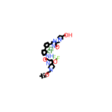 COc1nc(-c2cccc(-c3cccc(NC(=O)c4cc(OC(F)F)c5c(n4)CN(CCO[Si](C)(C)C(C)(C)C)CC5)c3Cl)c2Cl)cnc1CN1CCC(CO)C1